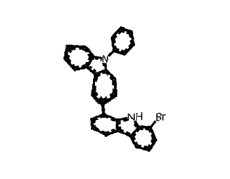 Brc1cccc2c1[nH]c1c(-c3ccc4c(c3)c3ccccc3n4-c3ccccc3)cccc12